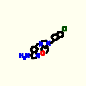 CC[C@H]1C(C=O)N(Cc2ccc3c(N)ccnc3c2)CCN1Cc1ccc2cc(Cl)ccc2c1